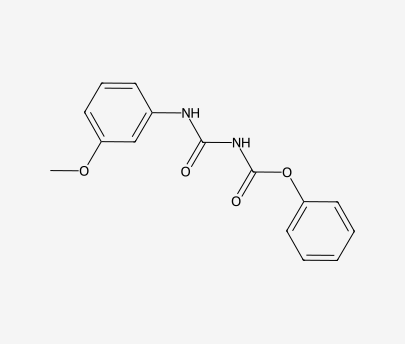 COc1cccc(NC(=O)NC(=O)Oc2ccccc2)c1